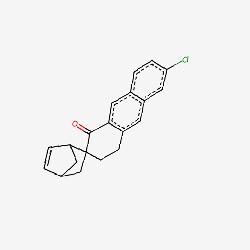 O=C1c2cc3ccc(Cl)cc3cc2CCC12CC1C=CC2C1